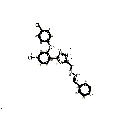 Clc1ccc(Oc2cc(Cl)ccc2-c2nnc(CON=Cc3ccccc3)s2)cc1